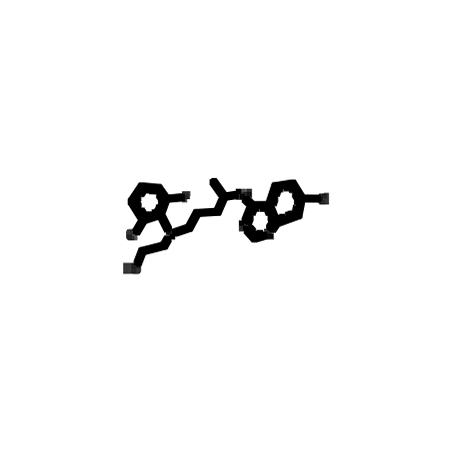 CC(CCCN(CCO)c1c(F)cccc1Cl)Nc1ncnc2cc(Cl)ccc12